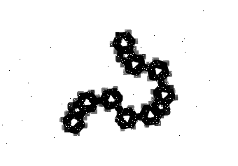 c1cc(-c2cccc(-c3ccc4oc5cnc(-c6cccc(-c7ccc8oc9cnccc9c8c7)c6)cc5c4c3)c2)cc(-c2ccc3oc4cnccc4c3c2)c1